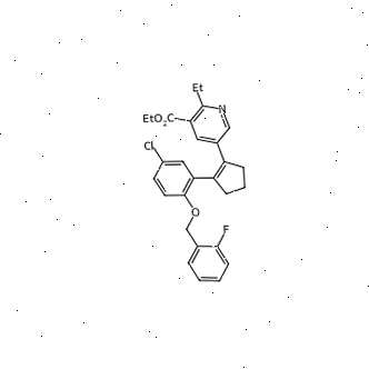 CCOC(=O)c1cc(C2=C(c3cc(Cl)ccc3OCc3ccccc3F)CCC2)cnc1CC